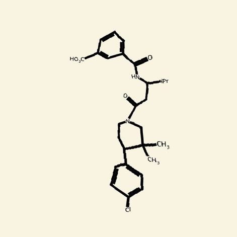 CC(C)C(CC(=O)N1CCC(c2ccc(Cl)cc2)C(C)(C)C1)NC(=O)c1cccc(C(=O)O)c1